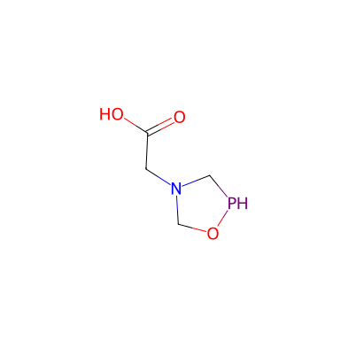 O=C(O)CN1COPC1